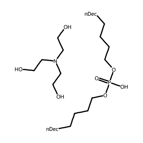 CCCCCCCCCCCCCCOP(=O)(O)OCCCCCCCCCCCCCC.OCCN(CCO)CCO